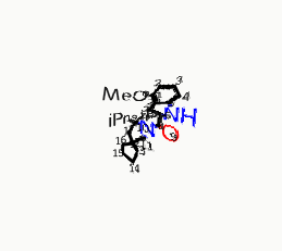 COc1cccc2[nH]c(C(=O)N3CC4(CCCC4)CC3(C(C)C)C(C)C)cc12